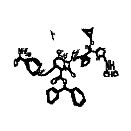 NC(=O)c1cc[n+](CC2=C(C(=O)OC(c3ccccc3)c3ccccc3)N3C(=O)[C@@H](NC(=O)C(=NOC4CC4)c4csc(NC=O)n4)[C@@H]3[S+]([O-])C2)cc1.[I-]